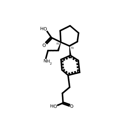 NCC[C@@]1(C(=O)O)CCCC[C@H]1c1ccc(CCC(=O)O)cc1